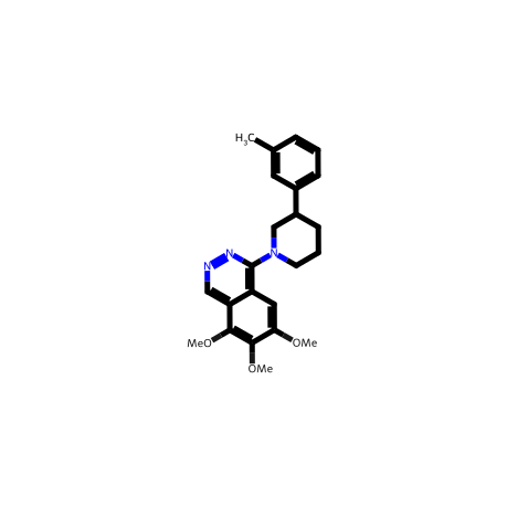 COc1cc2c(N3CCCC(c4cccc(C)c4)C3)nncc2c(OC)c1OC